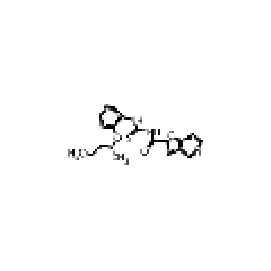 CCCC(C)Oc1ccccc1NC(=S)NC(=O)c1cc2cnccc2o1